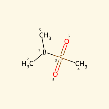 CB(C)S(C)(=O)=O